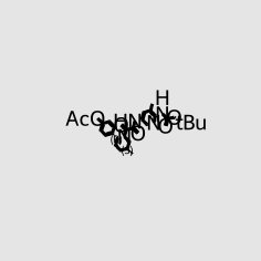 CC(=O)Oc1ccc([C@H]2CC[C@H](C)CN2C(=O)C(=O)Nc2cnc(NC(=O)OC(C)(C)C)c(C)c2)cc1